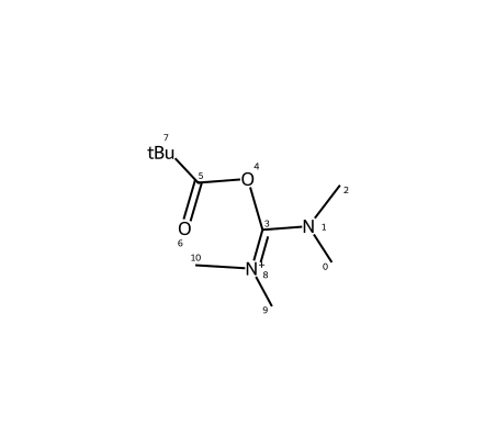 CN(C)C(OC(=O)C(C)(C)C)=[N+](C)C